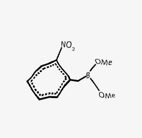 COB(OC)c1ccccc1[N+](=O)[O-]